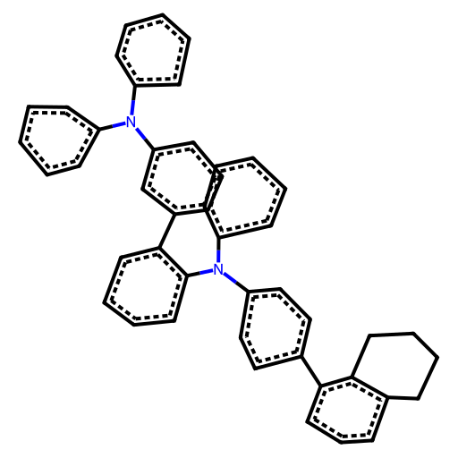 c1ccc(N(c2ccccc2)c2cccc(-c3ccccc3N(c3ccccc3)c3ccc(-c4cccc5c4CCCC5)cc3)c2)cc1